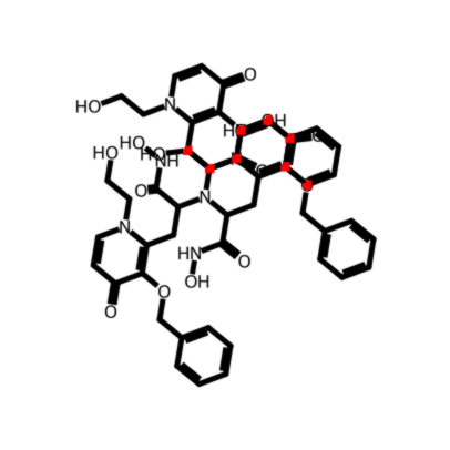 O=C(NO)C(Cc1c(OCc2ccccc2)c(=O)ccn1CCO)N(C(Cc1c(OCc2ccccc2)c(=O)ccn1CCO)C(=O)NO)C(Cc1c(OCc2ccccc2)c(=O)ccn1CCO)C(=O)NO